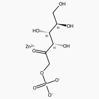 O=C(COP(=O)([O-])[O-])[C@@H](O)[C@H](O)[C@H](O)CO.[Zn+2]